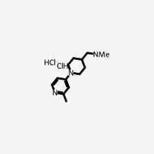 CNCC1CCN(c2ccnc(C)c2)CC1.Cl.Cl